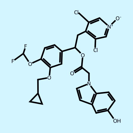 O=C(Cn1ccc2cc(O)ccc21)OC(Cc1c(Cl)c[n+]([O-])cc1Cl)c1ccc(OC(F)F)c(OCC2CC2)c1